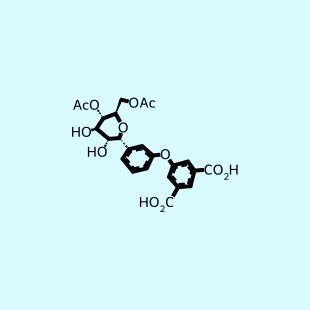 CC(=O)OC[C@H]1O[C@H](c2cccc(Oc3cc(C(=O)O)cc(C(=O)O)c3)c2)[C@H](O)[C@@H](O)[C@@H]1OC(C)=O